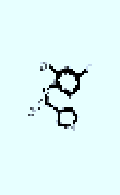 CCc1cc(F)ccc1O[C@@H](CC)C1CCNC1